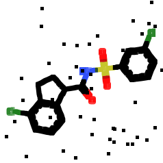 O=C(NS(=O)(=O)c1cccc(Cl)c1)C1CCc2c(Cl)cccc21